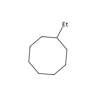 CCC1CCCCCCC1